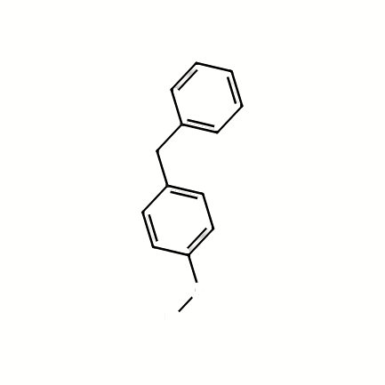 C[CH]Oc1ccc(Cc2ccccc2)cc1